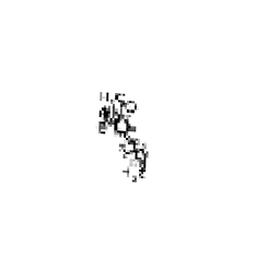 CCN1CCC2(CCN(c3ccc(NC(C)=O)c([N+](=O)[O-])c3)C2)C1